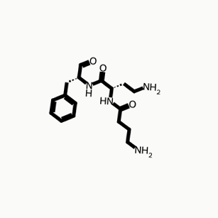 NCCCC(=O)N[C@@H](CCN)C(=O)N[C@@H](C=O)Cc1ccccc1